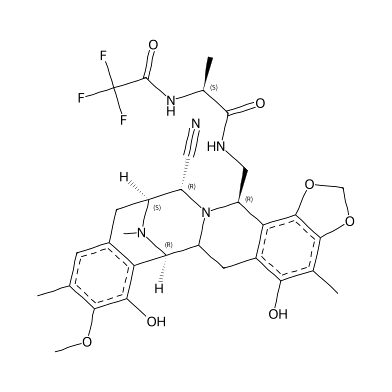 COc1c(C)cc2c(c1O)[C@@H]1C3Cc4c(O)c(C)c5c(c4[C@H](CNC(=O)[C@H](C)NC(=O)C(F)(F)F)N3[C@@H](C#N)[C@H](C2)N1C)OCO5